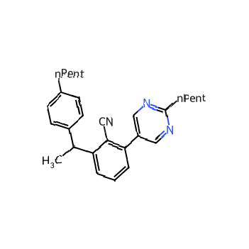 CCCCCc1ccc(C(C)c2cccc(-c3cnc(CCCCC)nc3)c2C#N)cc1